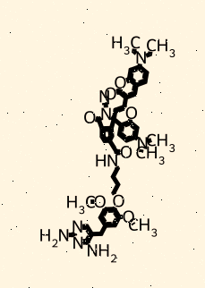 CCN(CC)c1ccc2cc(C3=CC4(c5ccc(N(C)C)cc5O3)c3cc(C(=O)NCCCCOc5c(OC)cc(Cc6cnc(N)nc6N)cc5OC)ccc3C(=O)N4C#N)c(=O)oc2c1